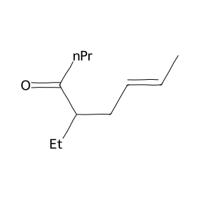 CC=CCC(CC)C(=O)CCC